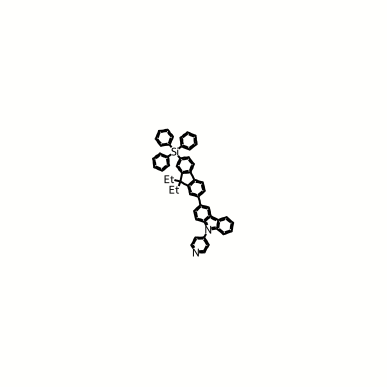 CCC1(CC)c2cc(-c3ccc4c(c3)c3ccccc3n4-c3ccncc3)ccc2-c2ccc([Si](c3ccccc3)(c3ccccc3)c3ccccc3)cc21